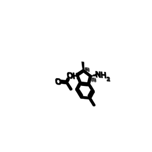 CC(=O)O.Cc1ccc2c(c1)[C@@H](N)[C@H](C)C2